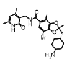 Cc1cc(C)c(CNC(=O)c2cc(Br)c3c(c2C)OC(C)(C[C@H]2CC[C@H](N)CC2)O3)c(=O)[nH]1